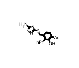 CCCc1c(CSc2nnc(N)s2)ccc(C(C)=O)c1O